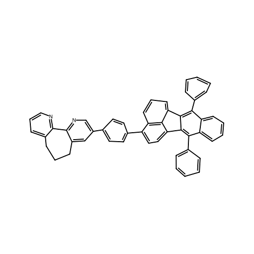 c1ccc(-c2c3c(c(-c4ccccc4)c4ccccc24)-c2ccc(-c4ccc(-c5cnc6c(c5)CCCc5cccnc5-6)cc4)c4cccc-3c24)cc1